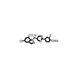 COc1ccc(-c2ncc(Cn3ncc4cc(Cl)cc(C(=O)O)c43)cn2)cc1F